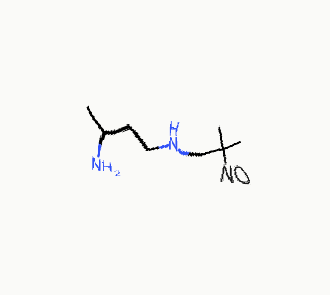 CC(N)CCNCC(C)(C)N=O